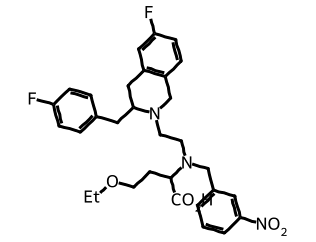 CCOCCC(C(=O)O)N(CCN1Cc2ccc(F)cc2CC1Cc1ccc(F)cc1)Cc1cccc([N+](=O)[O-])c1